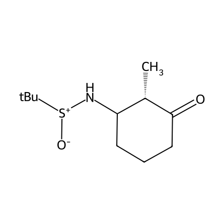 C[C@@H]1C(=O)CCCC1N[S+]([O-])C(C)(C)C